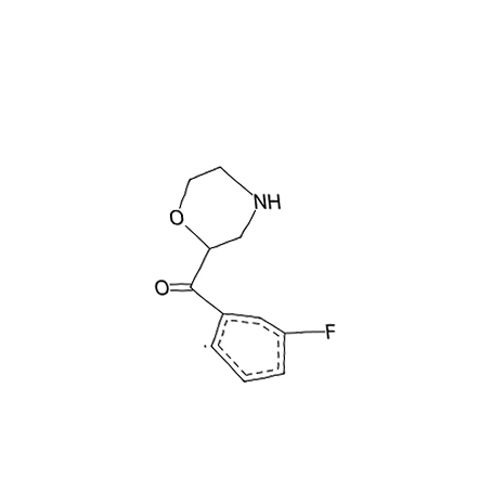 O=C(c1[c]ccc(F)c1)C1CNCCO1